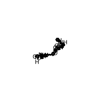 Cc1c(OC2CCC(CCCCN3CCN(c4cccc5c(C6CCC(=O)NC6=O)nn(C)c45)CC3C)CC2)cccc1-c1ccc(N2CCc3cccc(C(=O)Nc4nc5ccccc5s4)c3C2)nc1C(=O)O